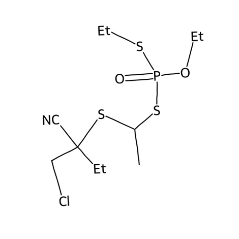 CCOP(=O)(SCC)SC(C)SC(C#N)(CC)CCl